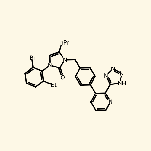 CCCc1cn(-c2c(Br)cccc2CC)c(=O)n1Cc1ccc(-c2cccnc2-c2nnn[nH]2)cc1